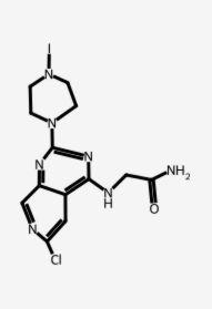 NC(=O)CNc1nc(N2CCN(I)CC2)nc2cnc(Cl)cc12